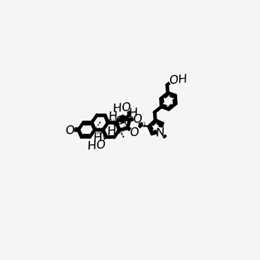 Cn1cc(Cc2cccc(CO)c2)c([C@@H]2O[C@@H]3C[C@H]4[C@@H]5CCC6=CC(=O)C=C[C@]6(C)[C@H]5[C@@H](O)C[C@]4(C)[C@]3(C(=O)CO)O2)c1